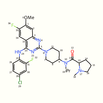 COc1cc2nc(N3CCC(N(C(=O)C4CCCN4C)C(C)C)CC3)nc(Nc3ccc(Cl)cc3F)c2cc1F